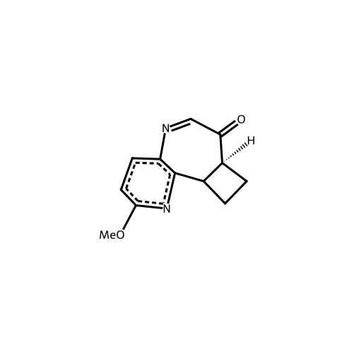 COc1ccc2c(n1)C1CC[C@@H]1C(=O)C=N2